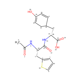 CC(=O)N[C@@H](Cc1cccs1)C(=O)N[C@H](CC1C=CC(O)=CC1)C(=O)O